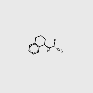 C[C@@H](F)N[C@@H]1CCCc2ccccc21